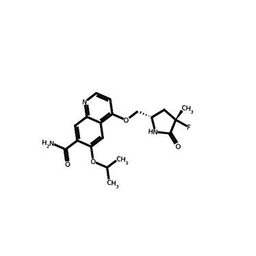 CC(C)Oc1cc2c(OC[C@@H]3C[C@](C)(F)C(=O)N3)ccnc2cc1C(N)=O